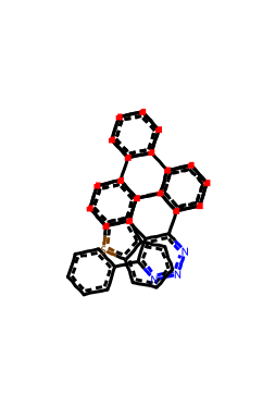 c1ccc(-c2ccccc2-c2c(-c3ccccc3)nnnc2-c2cccc(-c3ccccc3)c2-c2c(-c3ccccc3)ccc3sc4ccccc4c23)cc1